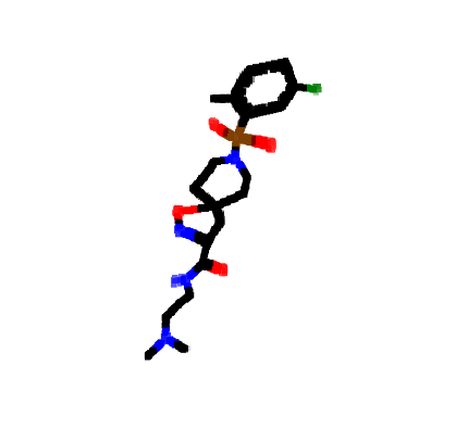 Cc1ccc(F)cc1S(=O)(=O)N1CCC2(CC1)CC(C(=O)NCCN(C)C)=NO2